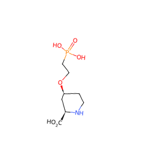 O=C(O)[C@H]1C[C@@H](OCCP(=O)(O)O)CCN1